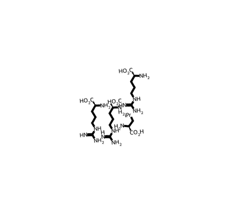 CC(C)C[C@H](N)C(=O)O.N=C(N)NCCC[C@H](N)C(=O)O.N=C(N)NCCC[C@H](N)C(=O)O.N=C(N)NCCC[C@H](N)C(=O)O